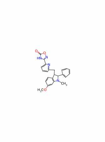 COc1ccc2c(c1)N(C)C(c1ccccc1)C2Cc1cccc(-c2noc(=O)[nH]2)n1